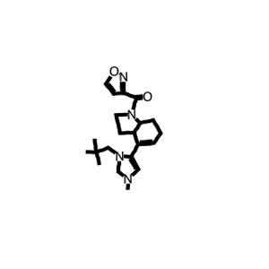 CN1C=C(C2=CCCC3C2CCN3C(=O)c2ccon2)N(CC(C)(C)C)C1